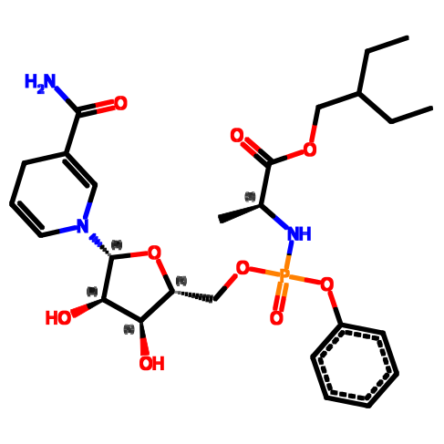 CCC(CC)COC(=O)[C@H](C)NP(=O)(OC[C@H]1O[C@@H](N2C=CCC(C(N)=O)=C2)[C@H](O)[C@@H]1O)Oc1ccccc1